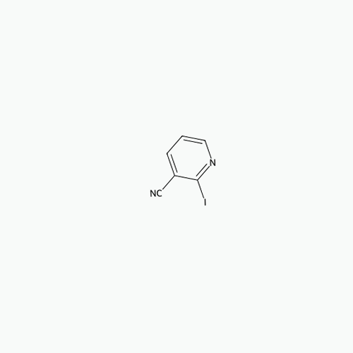 N#Cc1cccnc1I